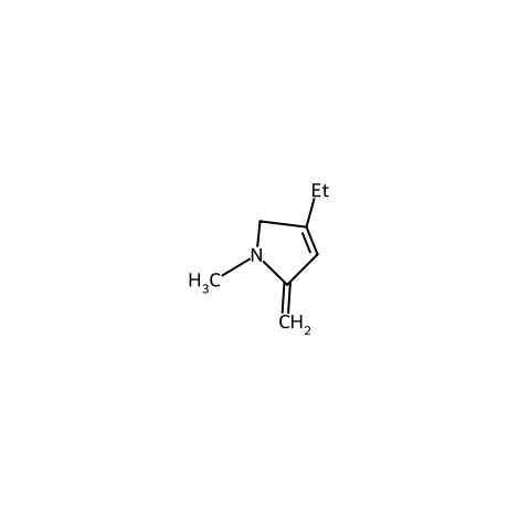 C=C1C=C(CC)CN1C